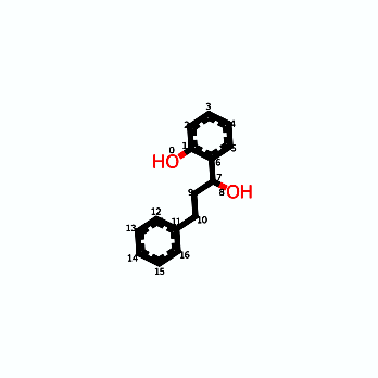 Oc1ccccc1C(O)CCc1[c]cccc1